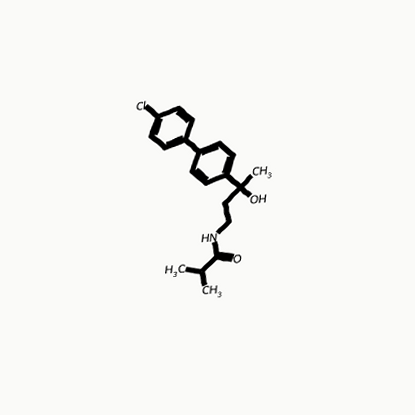 CC(C)C(=O)NCCC(C)(O)c1ccc(-c2ccc(Cl)cc2)cc1